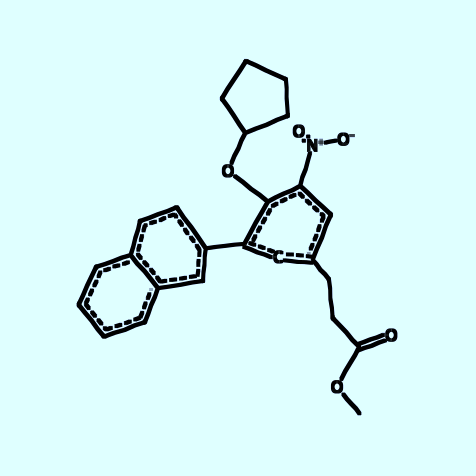 COC(=O)CCc1cc(-c2ccc3ccccc3c2)c(OC2CCCC2)c([N+](=O)[O-])c1